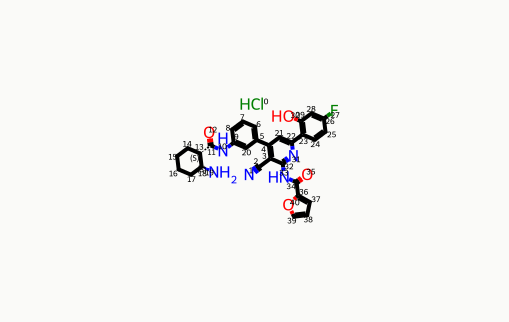 Cl.N#Cc1c(-c2cccc(NC(=O)[C@H]3CCCC[C@@H]3N)c2)cc(-c2ccc(F)cc2O)nc1NC(=O)c1ccco1